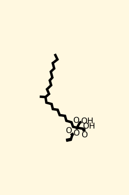 C=CC(=O)OC(CCCCCCCCCC(C)CCCCCCCCCC)(C(=O)O)C(=O)O